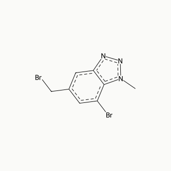 Cn1nnc2cc(CBr)cc(Br)c21